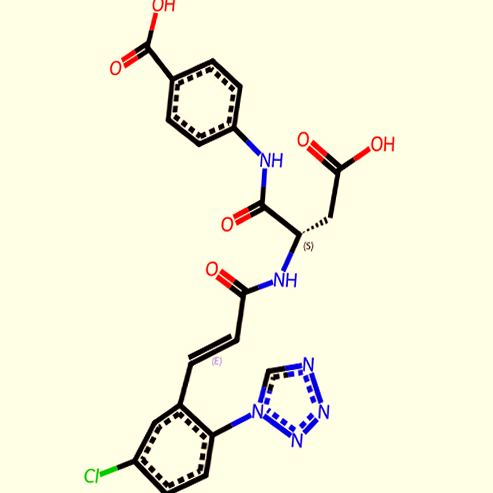 O=C(O)C[C@H](NC(=O)/C=C/c1cc(Cl)ccc1-n1cnnn1)C(=O)Nc1ccc(C(=O)O)cc1